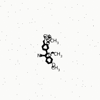 CCn1c(-c2ccc(CN(C)S(C)(=O)=O)cc2)c(C#N)c2ccc(OC)cc21